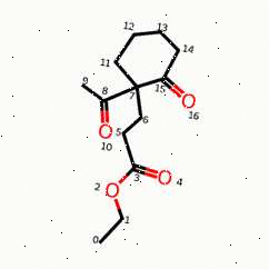 CCOC(=O)CCC1(C(C)=O)CCCCC1=O